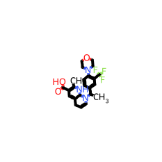 CC1=C(C(=O)O)C=C2CC=CN(C(C)c3ccc(N4CCOCC4)c(C(F)(F)F)c3)C2N1